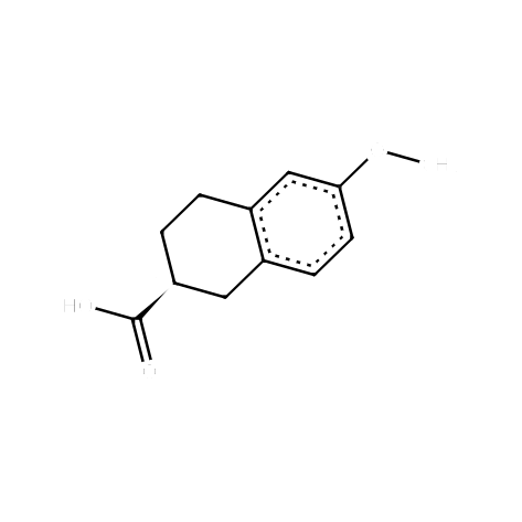 COc1ccc2c(c1)CC[C@H](C(=O)O)C2